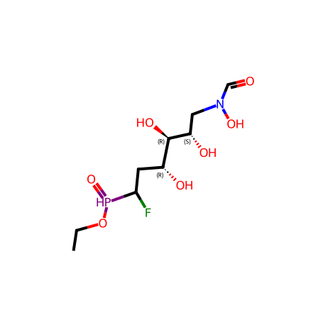 CCO[PH](=O)C(F)C[C@@H](O)[C@@H](O)[C@@H](O)CN(O)C=O